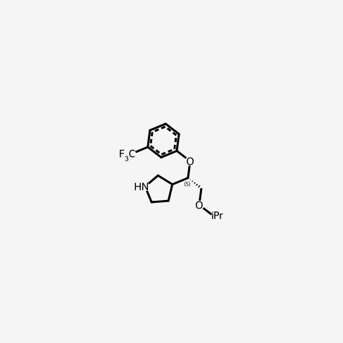 CC(C)OC[C@@H](Oc1cccc(C(F)(F)F)c1)C1CCNC1